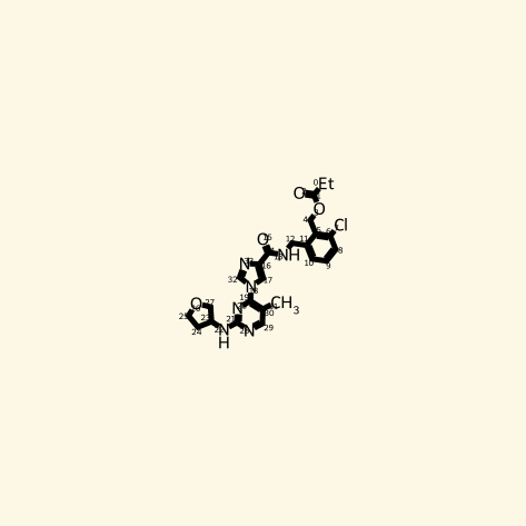 CCC(=O)OCc1c(Cl)cccc1CNC(=O)c1cn(-c2nc(NC3CCOC3)ncc2C)cn1